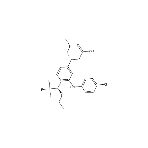 CCO[C@H](c1ccc([C@H](COC)CC(=O)O)cc1Nc1ccc(Cl)cc1)C(F)(F)F